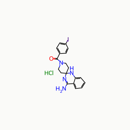 Cl.NC1=NC2(CCN(C(=O)c3ccc(I)cc3)CC2)Nc2ccccc21